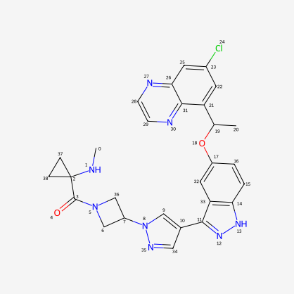 CNC1(C(=O)N2CC(n3cc(-c4n[nH]c5ccc(OC(C)c6cc(Cl)cc7nccnc67)cc45)cn3)C2)CC1